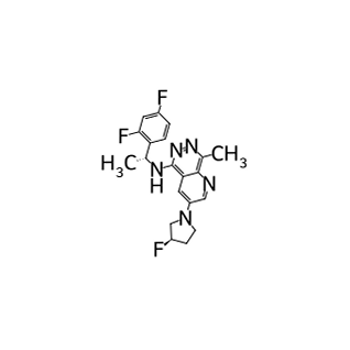 Cc1nnc(N[C@H](C)c2ccc(F)cc2F)c2cc(N3CC[C@@H](F)C3)cnc12